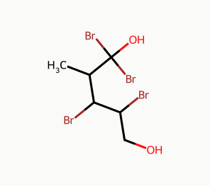 CC(C(Br)C(Br)CO)C(O)(Br)Br